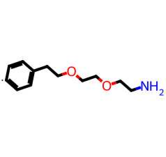 NCCOCCOCCc1cc[c]cc1